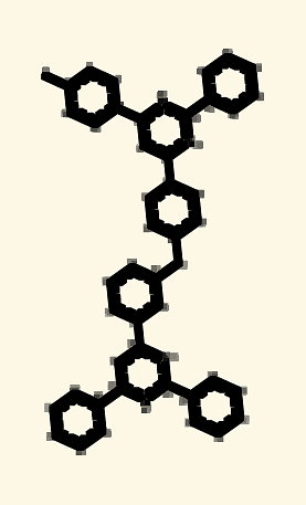 Cc1ccc(-c2cc(-c3ccc(Cc4cccc(-c5cc(-c6ccccc6)nc(-c6ccccc6)n5)c4)cc3)nc(-c3ccccc3)n2)cc1